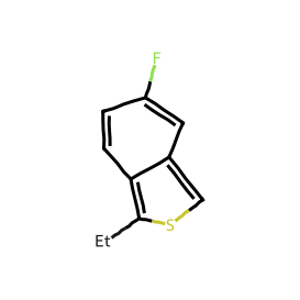 [CH2]Cc1scc2cc(F)ccc12